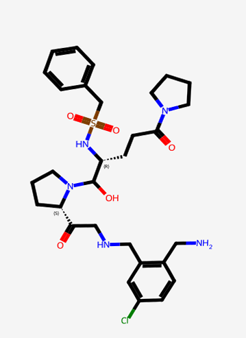 NCc1ccc(Cl)cc1CNCC(=O)[C@@H]1CCCN1C(O)[C@@H](CCC(=O)N1CCCC1)NS(=O)(=O)Cc1ccccc1